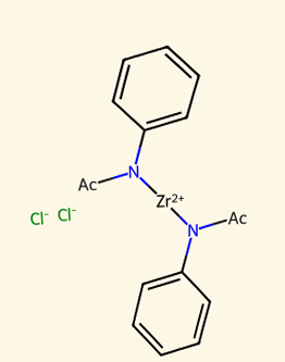 CC(=O)[N]([Zr+2][N](C(C)=O)c1ccccc1)c1ccccc1.[Cl-].[Cl-]